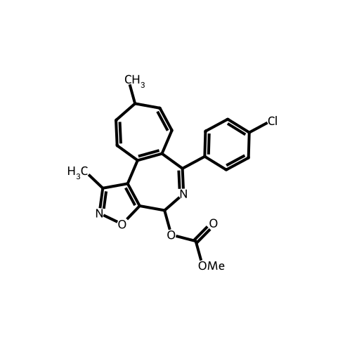 COC(=O)OC1N=C(c2ccc(Cl)cc2)C2=C(C=CC(C)C=C2)c2c(C)noc21